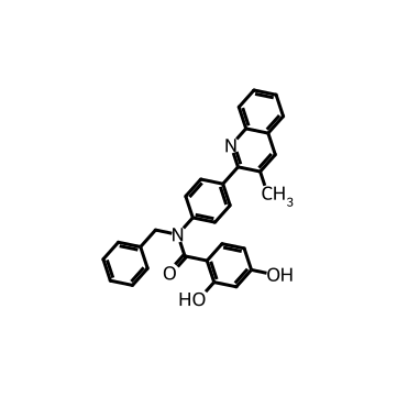 Cc1cc2ccccc2nc1-c1ccc(N(Cc2ccccc2)C(=O)c2ccc(O)cc2O)cc1